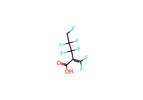 O=C(O)C(=C(F)F)C(F)(F)C(F)(F)CF